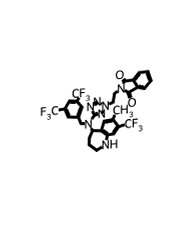 Cc1cc2c(cc1C(F)(F)F)NCCCC2N(Cc1cc(C(F)(F)F)cc(C(F)(F)F)c1)c1nnn(CCN2C(=O)c3ccccc3C2=O)n1